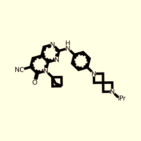 CC(C)N1CC2(CN(c3ccc(Nc4ncc5cc(C#N)c(=O)n(C67CC(C6)C7)c5n4)cc3)C2)C1